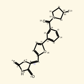 O=C1NC(=S)S/C1=C\c1ccc(-c2cccc(C(=O)N3CC[C@@H](F)C3)c2)o1